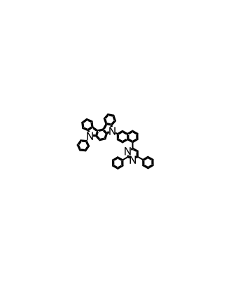 c1ccc(-c2cc(-c3cccc4cc(-n5c6ccccc6c6c7c8ccccc8n(-c8ccccc8)c7ccc65)ccc34)nc(-c3ccccc3)n2)cc1